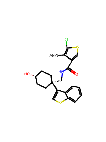 COc1c(C(=O)NC[C@]2(c3csc4ccccc43)CC[C@H](O)CC2)csc1Cl